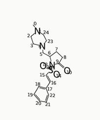 CN1CCN(CC2CCC(=O)N2S(=O)(=O)C=Cc2ccccc2)CC1